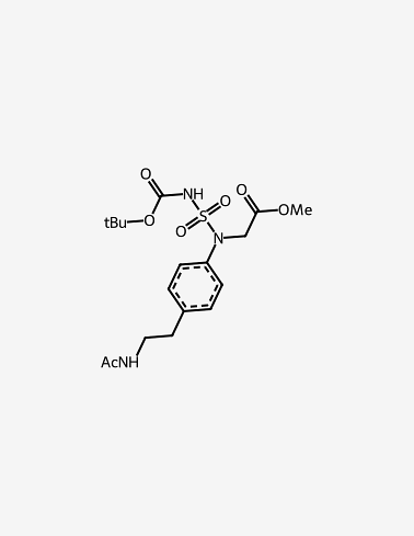 COC(=O)CN(c1ccc(CCNC(C)=O)cc1)S(=O)(=O)NC(=O)OC(C)(C)C